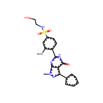 COc1cc(S(=O)(=O)NCCO)ccc1-c1nc2c(c(-c3ccccc3)nn2C)c(=O)[nH]1